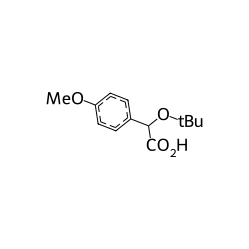 COc1ccc(C(OC(C)(C)C)C(=O)O)cc1